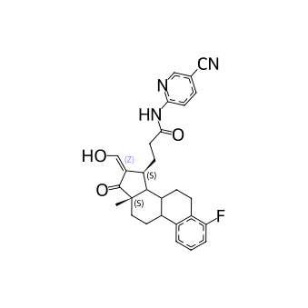 C[C@]12CCC3c4cccc(F)c4CCC3C1[C@H](CCC(=O)Nc1ccc(C#N)cn1)/C(=C/O)C2=O